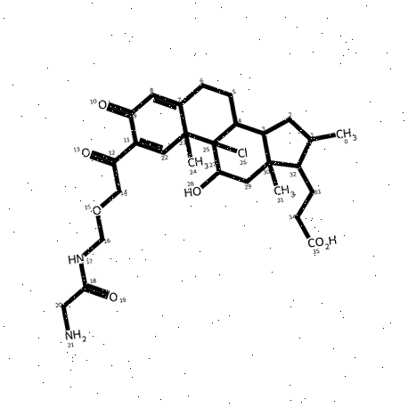 CC1CC2C3CCC4=CC(=O)C(C(=O)COCNC(=O)CN)=CC4(C)C3(Cl)C(O)CC2(C)C1CCC(=O)O